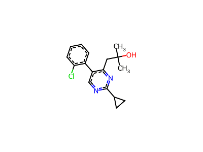 CC(C)(O)Cc1nc(C2CC2)ncc1-c1ccccc1Cl